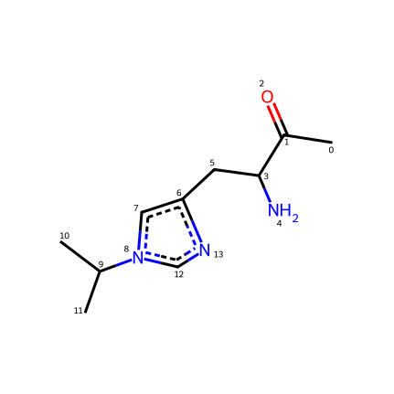 CC(=O)C(N)Cc1cn(C(C)C)cn1